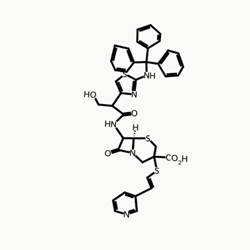 O=C(NC1C(=O)N2CC(SC=Cc3cccnc3)(C(=O)O)CS[C@H]12)C(CO)c1csc(NC(c2ccccc2)(c2ccccc2)c2ccccc2)n1